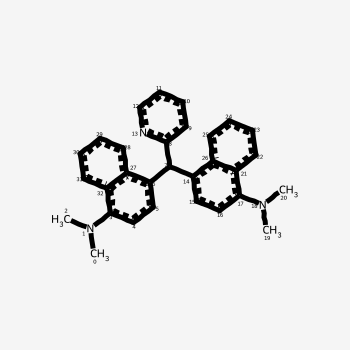 CN(C)c1ccc(C(c2ccccn2)c2ccc(N(C)C)c3ccccc23)c2ccccc12